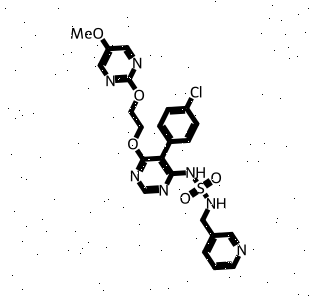 COc1cnc(OCCOc2ncnc(NS(=O)(=O)NCc3cccnc3)c2-c2ccc(Cl)cc2)nc1